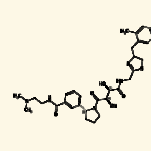 Cc1ccccc1CC1CSC(CNC(=O)[C@H](O)[C@@H](O)C(=O)N2CCC[C@@H]2c2cccc(C(=O)NCCN(C)C)c2)=N1